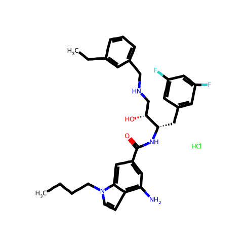 CCCCn1ccc2c(N)cc(C(=O)N[C@@H](Cc3cc(F)cc(F)c3)[C@H](O)CNCc3cccc(CC)c3)cc21.Cl